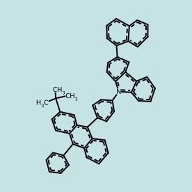 CC(C)(C)c1ccc2c(-c3ccccc3)c3ccccc3c(-c3ccc(-n4c5ccccc5c5cc(-c6cccc7ccccc67)ccc54)cc3)c2c1